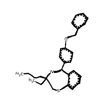 CCCCC1(CC)CSc2ccccc2C(c2ccc(OCc3ccccc3)cc2)=N1